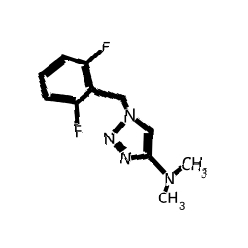 CN(C)c1cn(Cc2c(F)cccc2F)nn1